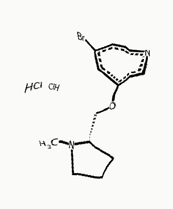 CN1CCC[C@H]1COc1cncc(Br)c1.Cl.Cl